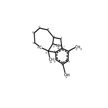 Cc1cc(O)cc2c1CC1CCCCCC2(C)C1N